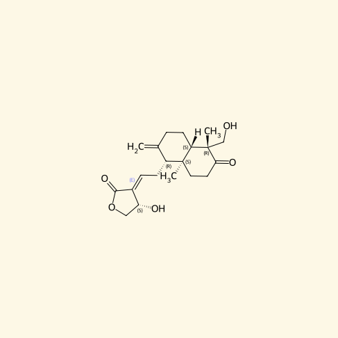 C=C1CC[C@H]2[C@@](C)(CCC(=O)[C@@]2(C)CO)[C@@H]1C/C=C1/C(=O)OC[C@H]1O